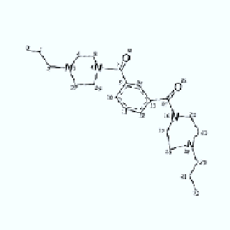 CCCN1CCN(C(=O)c2cccc(C(=O)N3CCN(CCC)CC3)c2)CC1